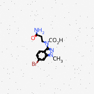 Cn1nc(N(CCC(N)=O)C(=O)O)c2ccc(Br)cc21